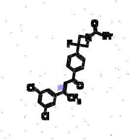 CC(C)C(=O)N1CC(F)(c2ccc(C(=O)/C=C(/c3cc(Cl)cc(Cl)c3)C(F)(F)F)cc2)C1